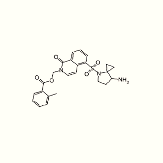 Cc1ccccc1C(=O)OCn1ccc2c(S(=O)(=O)N3CCC(N)C34CC4)cccc2c1=O